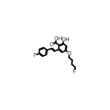 O=C(O)c1c(O)cc(OCCCCF)cc1C=Cc1ccc(F)cc1